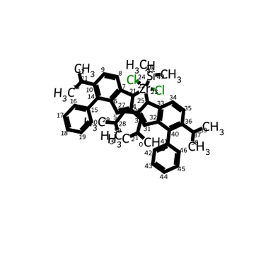 CC(C)CC1=Cc2c(ccc(C(C)C)c2-c2ccccc2)[CH]1[Zr]([Cl])([Cl])([CH]1C(CC(C)C)=Cc2c1ccc(C(C)C)c2-c1ccccc1)[SiH](C)C